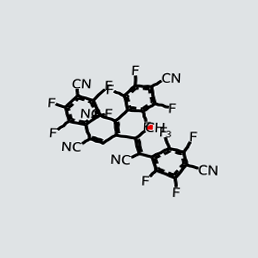 CC(=C(/C#N)c1c(F)c(F)c(C#N)c(F)c1F)/C(/C=C(/C#N)c1c(F)c(F)c(C#N)c(F)c1F)=C(/C#N)c1c(F)c(F)c(C#N)c(F)c1F